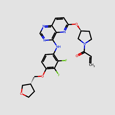 C=CC(=O)N1CC[C@H](Oc2ccc3ncnc(Nc4ccc(OC[C@@H]5CCOC5)c(F)c4F)c3n2)C1